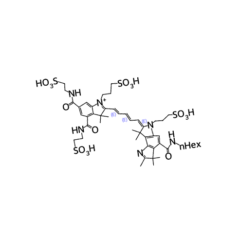 CCCCCCNC(=O)c1cc2c(c3c1C(C)(C)C(C)=N3)C(C)(C)\C(=C/C=C/C=C/C1=[N+](CCCS(=O)(=O)O)c3cc(C(=O)NCCS(=O)(=O)O)cc(C(=O)NCCS(=O)(=O)O)c3C1(C)C)N2CCCS(=O)(=O)O